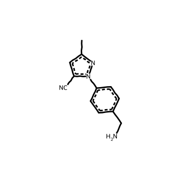 Cc1cc(C#N)n(-c2ccc(CN)cc2)n1